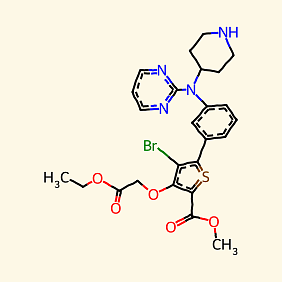 CCOC(=O)COc1c(C(=O)OC)sc(-c2cccc(N(c3ncccn3)C3CCNCC3)c2)c1Br